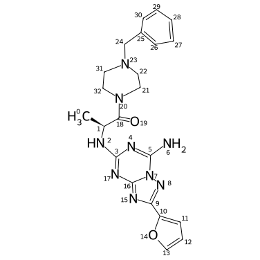 C[C@H](Nc1nc(N)n2nc(-c3ccco3)nc2n1)C(=O)N1CCN(Cc2ccccc2)CC1